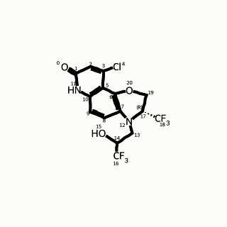 O=c1cc(Cl)c2c3c(ccc2[nH]1)N(CC(O)C(F)(F)F)[C@@H](C(F)(F)F)CO3